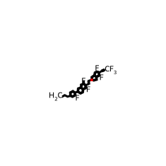 C=CCCc1ccc(-c2ccc3c(F)c(/C=C/c4ccc5c(F)c(C#CC(F)(F)F)c(F)cc5c4)c(F)cc3c2)c(F)c1